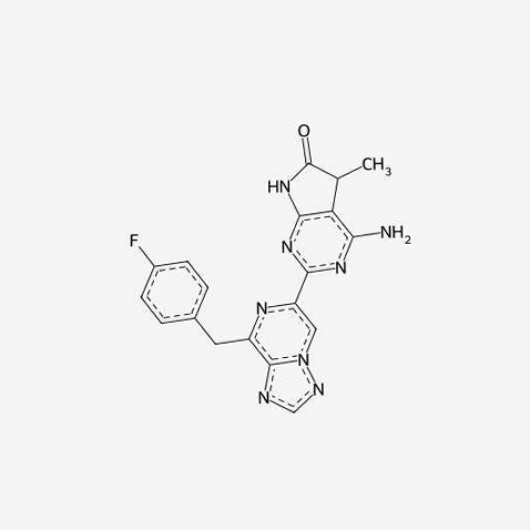 CC1C(=O)Nc2nc(-c3cn4ncnc4c(Cc4ccc(F)cc4)n3)nc(N)c21